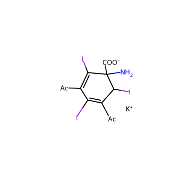 CC(=O)C1=C(I)C(N)(C(=O)[O-])C(I)C(C(C)=O)=C1I.[K+]